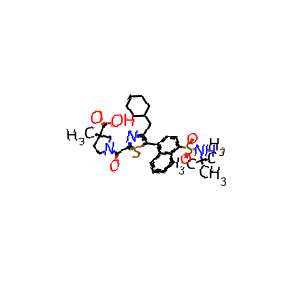 CC(C)(C)NS(=O)(=O)c1ccc(-c2sc(C(=O)N3CCC(C)(C(=O)O)C3)nc2CC2CCCCC2)c2ccccc12